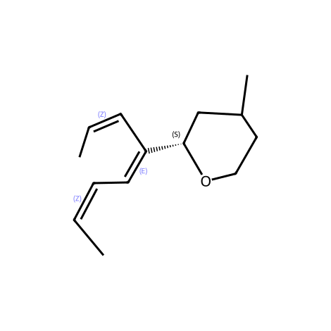 C\C=C/C=C(\C=C/C)[C@@H]1CC(C)CCO1